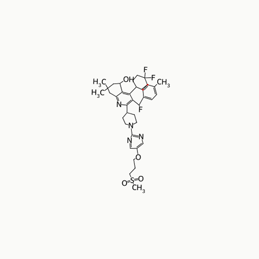 Cc1ccc(C(F)c2c(C3CCN(c4ncc(OCCCS(C)(=O)=O)cn4)CC3)nc3c(c2C2CCC(F)(F)CC2)C(O)CC(C)(C)C3)cc1